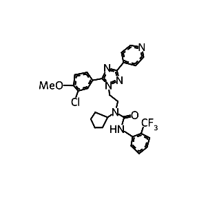 COc1ccc(-c2nc(-c3ccncc3)nn2CCN(C(=O)Nc2ccccc2C(F)(F)F)C2CCCC2)cc1Cl